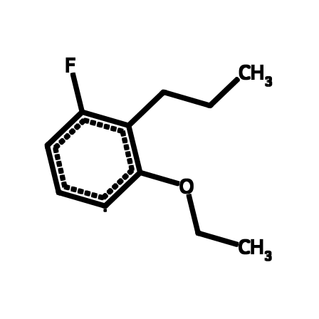 CCCc1c(OCC)[c]ccc1F